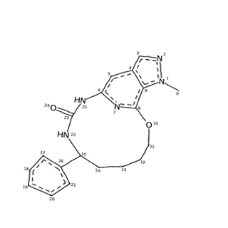 Cn1ncc2cc3nc(c21)OCCCCC(c1ccccc1)NC(=O)N3